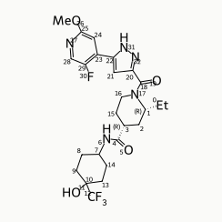 CC[C@@H]1C[C@H](C(=O)NC2CCC(O)(C(F)(F)F)CC2)CCN1C(=O)c1cc(-c2cc(OC)ncc2F)[nH]n1